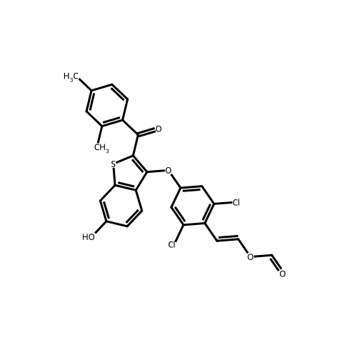 Cc1ccc(C(=O)c2sc3cc(O)ccc3c2Oc2cc(Cl)c(/C=C/OC=O)c(Cl)c2)c(C)c1